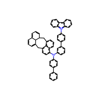 C1=CC2=CC=CC3Cc4cccc5c(N(c6ccc(-c7ccccc7)cc6)c6cccc(-c7ccc(-n8c9ccccc9c9ccccc98)cc7)c6)ccc(c45)CC(=C1)C23